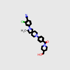 C[C@H]1CC2(CCN(c3ccc(C(=O)N4CCC(CO)CC4)cc3)CC2)CN1c1ccc(C#N)c(Cl)c1